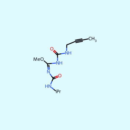 CC#CCNC(=O)NC(=NC(=O)NC(C)C)OC